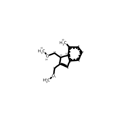 COCC1=Cc2cccc(C)c2C1COC